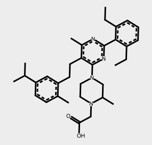 CCc1cccc(CC)c1-c1nc(C)c(CCc2cc(C(C)C)ccc2C)c(N2CCN(CC(=O)O)C(C)C2)n1